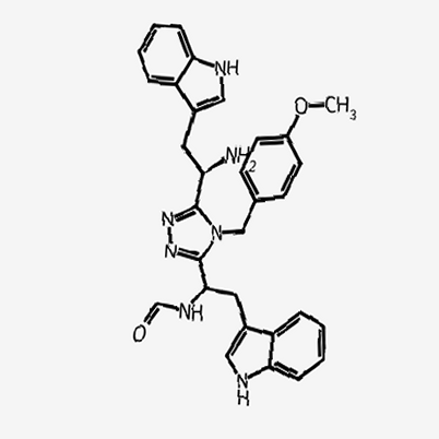 COc1ccc(Cn2c(C(Cc3c[nH]c4ccccc34)NC=O)nnc2[C@H](N)Cc2c[nH]c3ccccc23)cc1